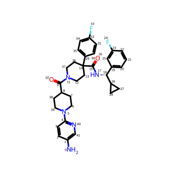 Nc1ccc(N2CCC(C(=O)N3CCC(C(=O)N[C@H](c4cccc(F)c4)C4CC4)(c4ccc(F)cc4)CC3)CC2)nc1